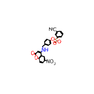 N#Cc1cccc(S(=O)(=O)Oc2ccc(CNc3cc(=O)oc4ccc([N+](=O)[O-])cc34)cc2)c1